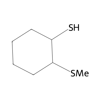 CSC1CCCCC1S